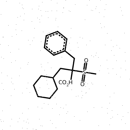 CS(=O)(=O)C(Cc1ccccc1)(CC1CCCCC1)C(=O)O